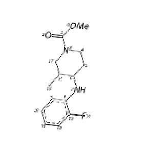 COC(=O)N1CCC(Nc2ccccc2F)C(C)C1